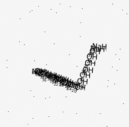 CO.CO.CO.CO.CO.CO.CO.CO.CO.CO.CO.CO.CO.CO.CO.CO.CO.CO.CO.CO.CO.CO.CO.CO.[NaH].[NaH].[NaH]